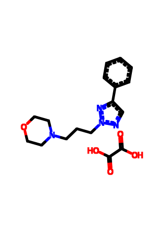 O=C(O)C(=O)O.c1ccc(-c2cnn(CCCN3CCOCC3)n2)cc1